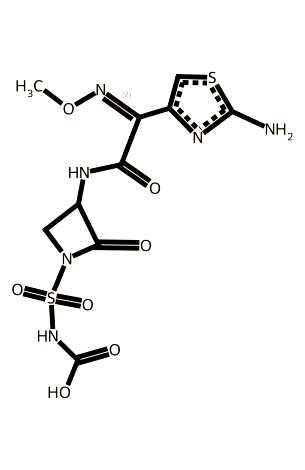 CO/N=C(\C(=O)NC1CN(S(=O)(=O)NC(=O)O)C1=O)c1csc(N)n1